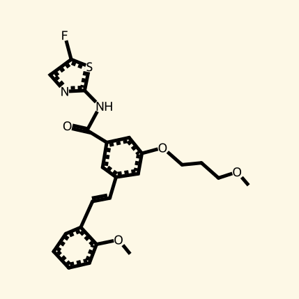 COCCCOc1cc(/C=C/c2ccccc2OC)cc(C(=O)Nc2ncc(F)s2)c1